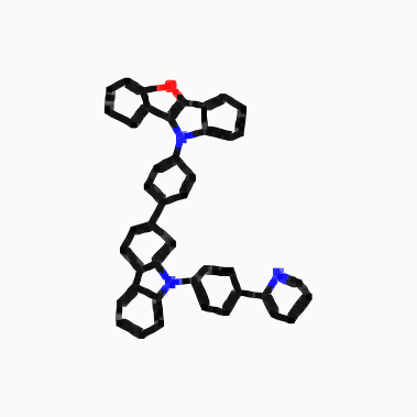 c1ccc(-c2ccc(-n3c4ccccc4c4ccc(-c5ccc(-n6c7ccccc7c7oc8ccccc8c76)cc5)cc43)cc2)nc1